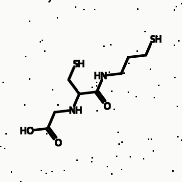 O=C(O)CNC(CS)C(=O)NCCCS